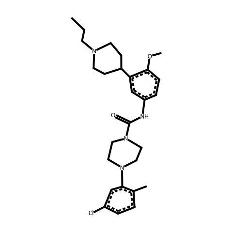 CCCN1CCC(c2cc(NC(=O)N3CCN(c4cc(Cl)ccc4C)CC3)ccc2OC)CC1